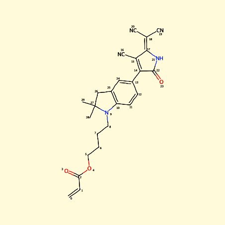 C=CC(=O)OCCCCN1c2ccc(C3=C(C#N)C(=C(C#N)C#N)NC3=O)cc2CC1(C)C